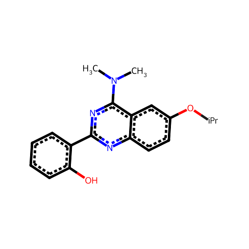 CC(C)Oc1ccc2nc(-c3ccccc3O)nc(N(C)C)c2c1